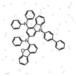 c1ccc(-c2ccc(-n3c4ccccc4c4c(N(c5ccccc5)c5ccccc5)cc(N(c5ccccc5)c5cccc6c5oc5ccccc56)cc43)cc2)cc1